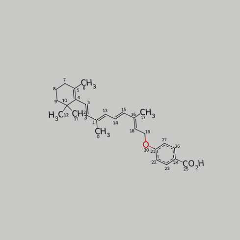 CC(C=CC1=C(C)CCCC1(C)C)=CC=CC(C)=CCOc1ccc(C(=O)O)cc1